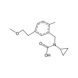 COCCc1ccc(C)c(CN(C(=O)O)C2CC2)c1